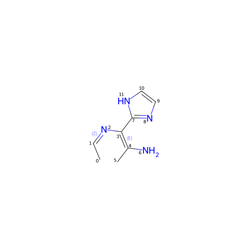 C/C=N\C(=C(/C)N)c1ncc[nH]1